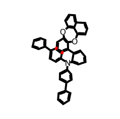 c1ccc(-c2ccc(N(c3ccc(-c4ccccc4)cc3)c3ccccc3-c3cccc4c3Oc3cccc5cccc(c35)O4)cc2)cc1